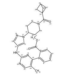 COC(=O)c1ccccc1-c1nc(Nc2cnn(C3CCN(C(=O)C45CC(C4)C5)CC3)c2)ncc1C